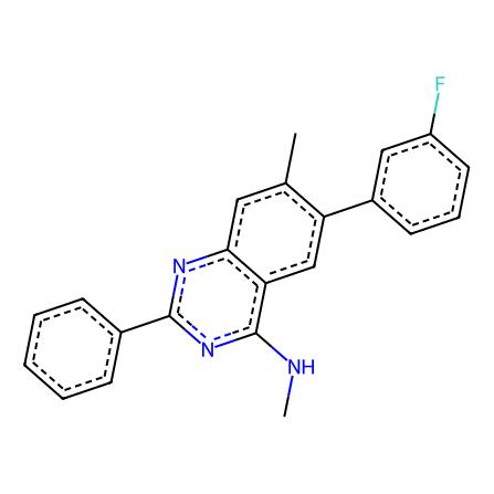 CNc1nc(-c2ccccc2)nc2cc(C)c(-c3cccc(F)c3)cc12